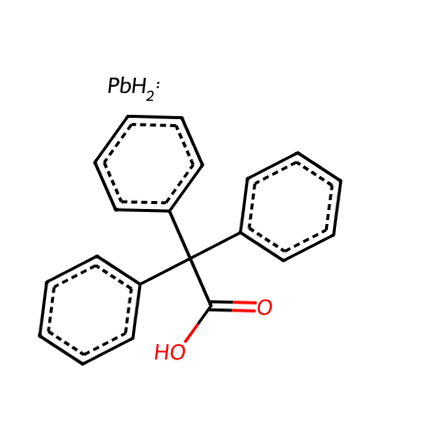 O=C(O)C(c1ccccc1)(c1ccccc1)c1ccccc1.[PbH2]